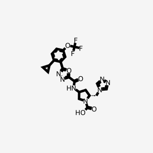 O=C(NC1C[C@H](Cn2cnnc2)N(C(=O)O)C1)c1nnc(-c2cc(OC(F)(F)F)ccc2C2CC2)o1